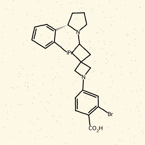 CC(C)c1ccccc1[C@@H]1CCCN1C1CC2(C1)CN(c1ccc(C(=O)O)c(Br)c1)C2